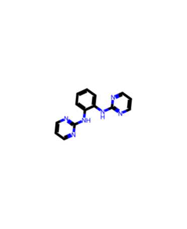 c1cnc(Nc2ccccc2Nc2ncccn2)nc1